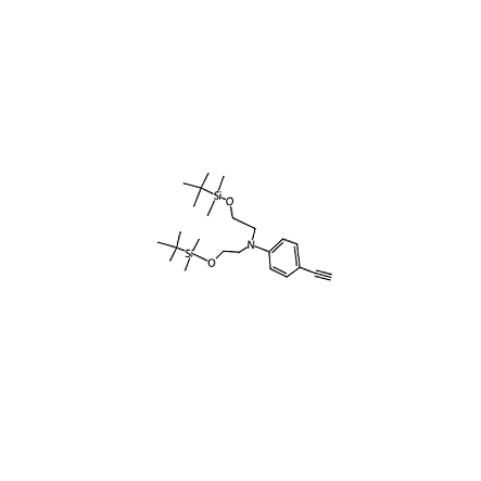 C#Cc1ccc(N(CCO[Si](C)(C)C(C)(C)C)CCO[Si](C)(C)C(C)(C)C)cc1